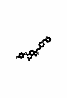 CN(C)Cc1c(COc2ccc(F)cc2)ccc2c(CCC3CCN(Cc4ccccn4)CC3)noc12